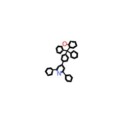 c1ccc(-c2cc(-c3ccc(C4(c5ccccc5)c5ccccc5Oc5ccccc54)cc3)cc(-c3ccccc3)n2)cc1